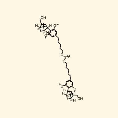 COc1cc(CCCCCO[N+](=O)OCCCCCc2cc(OC)c([C@H]3C=C(CO)[C@H]4C[C@H]3C4(C)C)c(OC)c2)cc(OC)c1[C@H]1C=C(CO)[C@H]2C[C@H]1C2(C)C